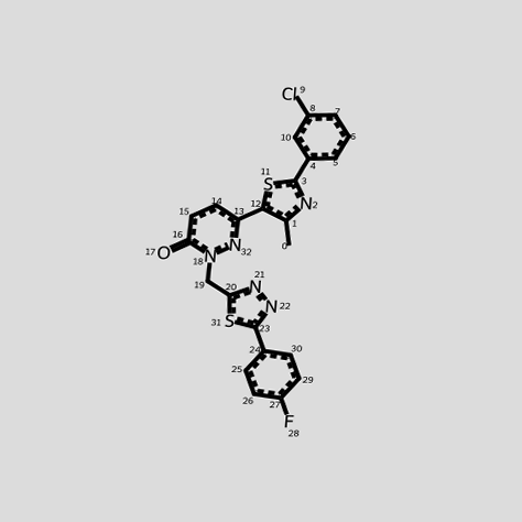 Cc1nc(-c2cccc(Cl)c2)sc1-c1ccc(=O)n(Cc2nnc(-c3ccc(F)cc3)s2)n1